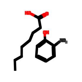 CCCCCCCC(=O)O.O=[N+]([O-])c1ccccc1O